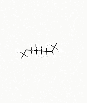 CCC(C)(C)CC(F)(F)C(CC)(CC)C(C)(CC)C(F)(F)C(F)C(C)(CC)CC